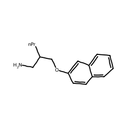 CCCC(CN)COc1ccc2ccccc2c1